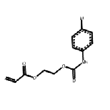 C=CC(=O)OCCOC(=O)Nc1ccc(CC)cc1